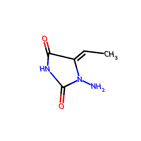 C/C=C1/C(=O)NC(=O)N1N